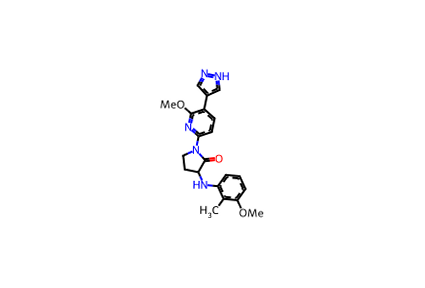 COc1cccc(NC2CCN(c3ccc(-c4cn[nH]c4)c(OC)n3)C2=O)c1C